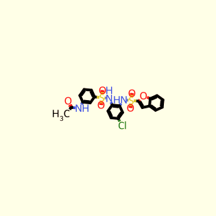 CC(=O)Nc1cccc(S(=O)(=O)Nc2ccc(Cl)cc2NS(=O)(=O)c2cc3ccccc3o2)c1